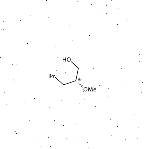 CO[C@@H](CO)CC(C)C